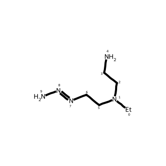 CCN(CCN)CCN=NN